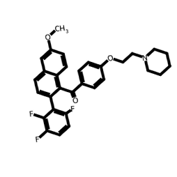 COc1ccc2c(C(=O)c3ccc(OCCN4CCCCC4)cc3)c(-c3c(F)ccc(F)c3F)ccc2c1